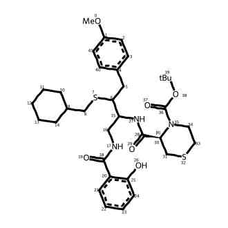 COc1ccc(CC(SCC2CCCCC2)C(CNC(=O)c2ccccc2O)NC(=O)[C@@H]2CSCCN2C(=O)OC(C)(C)C)cc1